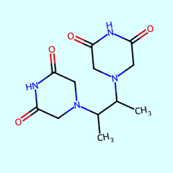 CC(C(C)N1CC(=O)NC(=O)C1)N1CC(=O)NC(=O)C1